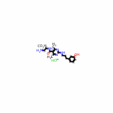 Cc1nc(NCCCc2cccc(O)c2)nc(C)c1C(=O)N[C@@H](CN)C(=O)O.Cl